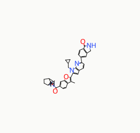 Cc1c(-c2cc3ccc(-c4ccc5c(c4)CNC5=O)nc3n2CC2CC2)oc2cc(C(=O)N3CC4CCC3[C@@H]4C)ccc12